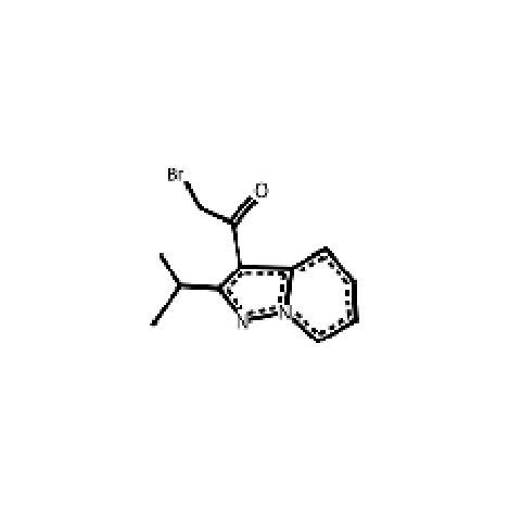 CC(C)c1nn2ccccc2c1C(=O)CBr